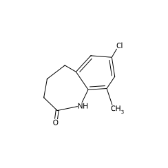 Cc1cc(Cl)cc2c1NC(=O)CCC2